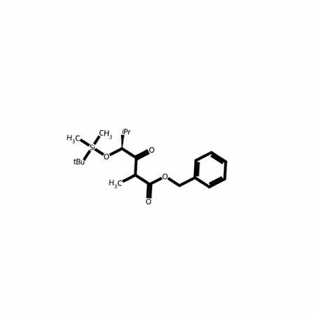 CC(C(=O)OCc1ccccc1)C(=O)[C@@H](O[Si](C)(C)C(C)(C)C)C(C)C